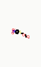 COCCOCCSc1ccc([N+](=O)[O-])cc1